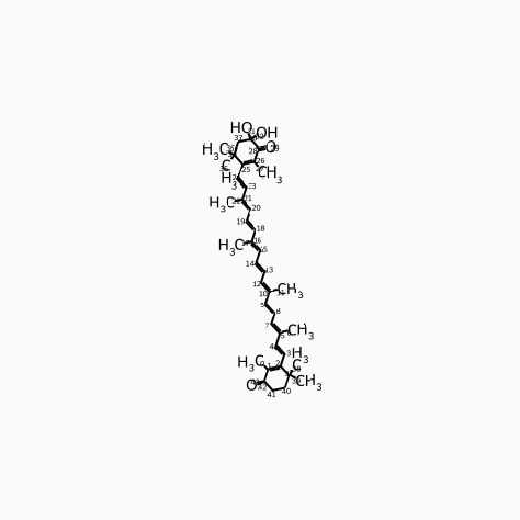 CC1=C(/C=C/C(C)=C/C=C/C(C)=C/C=C/C=C(C)/C=C/C=C(C)/C=C/C2=C(C)C(=O)C(O)(O)CC2(C)C)C(C)(C)CCC1=O